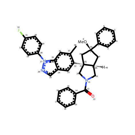 CO[C@@]1(c2ccccc2)C[C@H]2CN(C(=O)c3ccccc3)C[C@@]2(c2cc3cnn(-c4ccc(F)cc4)c3cc2C)C1